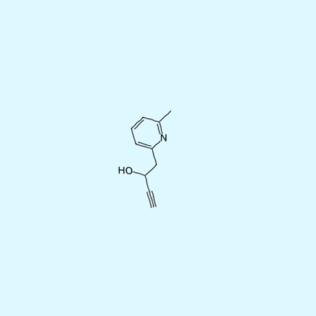 C#CC(O)Cc1cccc(C)n1